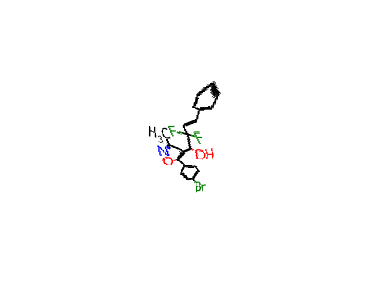 Cc1noc(-c2ccc(Br)cc2)c1C(O)C(F)(F)C=Cc1ccccc1